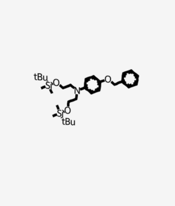 CC(C)(C)[Si](C)(C)OCCN(CCO[Si](C)(C)C(C)(C)C)c1ccc(OCc2ccccc2)cc1